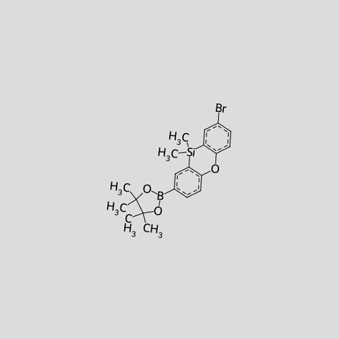 CC1(C)OB(c2ccc3c(c2)[Si](C)(C)c2cc(Br)ccc2O3)OC1(C)C